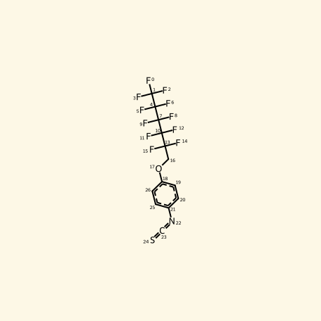 FC(F)(F)C(F)(F)C(F)(F)C(F)(F)C(F)(F)COc1ccc(N=C=S)cc1